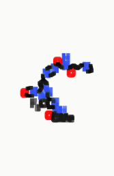 COC(=O)Nc1cc(C(F)(F)F)c(-c2nc(N3CCOCC3)c3cc(CN4CCN(C(=O)CNC(=O)/C=C/CN5CCC5)CC4)cn3n2)cn1